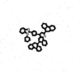 c1ccc(-n2c(-c3ccc(-c4cc(-c5cc6ccccc6c6ccccc56)nc5c4cc(-c4cc6ccccc6c6ccccc46)c4ccccc45)cc3)nc3ccccc32)cc1